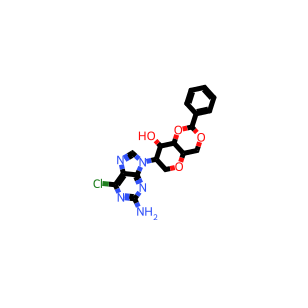 Nc1nc(Cl)c2ncn(C3COC4COC(c5ccccc5)OC4C3O)c2n1